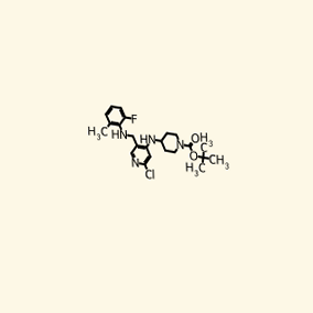 Cc1cccc(F)c1NCc1cnc(Cl)cc1NC1CCN(C(=O)OC(C)(C)C)CC1